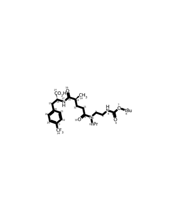 CCCN(CCNC(=O)OC(C)(C)C)C(=O)CC[C@H](C)C(=O)N[C@H](Cc1ccc(C(F)(F)F)cc1)C(=O)O